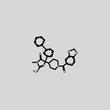 CN1C(=O)C(c2cccc(-c3ccccc3)c2)(C2CCN(C(=O)c3ccc4c(c3)OCO4)CC2)N=C1N